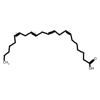 CCCCC/C=C\C/C=C/C/C=C/C/C=C\CCCCCC(=O)O